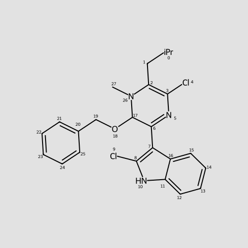 CC(C)CC1=C(Cl)N=C(c2c(Cl)[nH]c3ccccc23)C(OCc2ccccc2)N1C